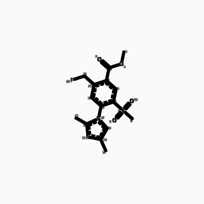 COC(=O)c1cc(S(C)(=O)=O)c(-n2cc(C)nc2C)cc1CF